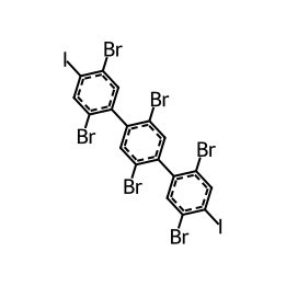 Brc1cc(-c2cc(Br)c(-c3cc(Br)c(I)cc3Br)cc2Br)c(Br)cc1I